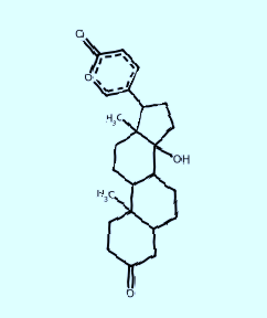 CC12CCC(=O)CC1CCC1C2CCC2(C)C(c3ccc(=O)oc3)CCC12O